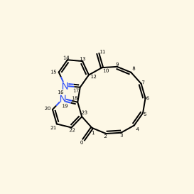 C=c1ccccccccc(=C)c2cccnc2c2ncccc12